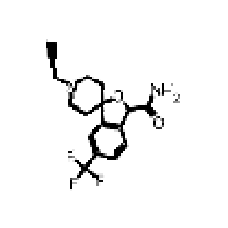 C#CCN1CCC2(CC1)OC(C(N)=O)c1ccc(C(F)(F)F)cc12